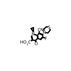 N#Cc1c(N2CCSCC2)c(F)cc2c(=O)c(C(=O)O)cn(C3CC3)c12